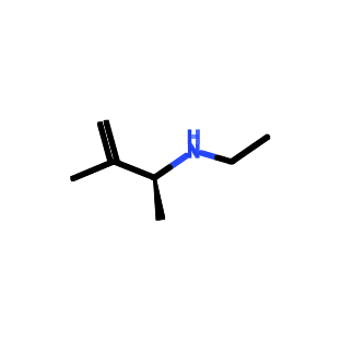 C=C(C)[C@H](C)NCC